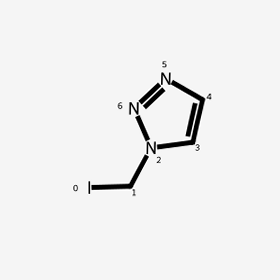 ICn1ccnn1